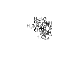 CC(C)N(C(=O)C1CC(=O)NC2CC[C@H]3[C@@H]4CCC[C@@]4(C)CC[C@@H]3[C@]21C)C(C)C